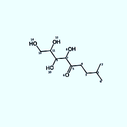 CC(C)CCC(=O)C(O)C(O)C(O)CO